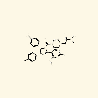 CCOc1nc(C)ncc1C1=N[C@H](c2ccc(Cl)cc2)[C@H](c2ccc(Cl)cc2)N1C(=O)N1CCN(CC(=O)N(C)C)CC1